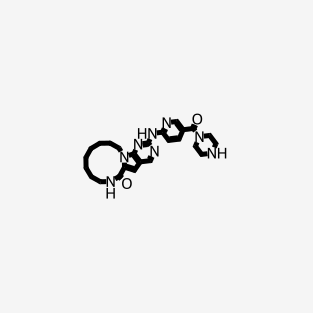 O=C1NCCCCCCCCn2c1cc1cnc(Nc3ccc(C(=O)N4CCNCC4)cn3)nc12